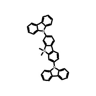 C[Si]1(C)c2cc(-n3c4ccccc4c4ccccc43)ccc2-c2ccc(-n3c4ccccc4c4ccccc43)cc21